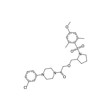 COc1cc(C)c(S(=O)(=O)N2CCCC2COCC(=O)N2CCN(c3cccc(Cl)c3)CC2)c(C)c1